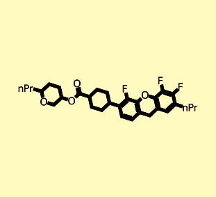 CCCc1cc2c(c(F)c1F)Oc1c(ccc(C3CCC(C(=O)OC4CCC(CCC)OC4)CC3)c1F)C2